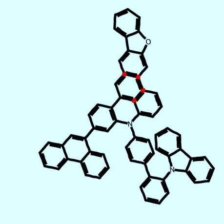 c1ccc(-c2ccc(-c3cc4ccccc4c4ccccc34)cc2N(c2ccc(-c3ccccc3-n3c4ccccc4c4ccccc43)cc2)c2cccc(-c3ccc4c(c3)oc3ccccc34)c2)cc1